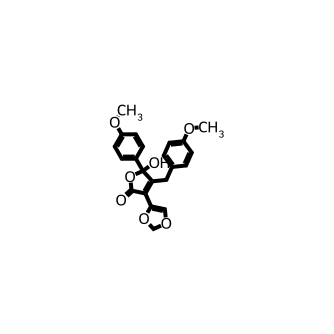 COc1ccc(CC2=C(C3=COCO3)C(=O)OC2(O)c2ccc(OC)cc2)cc1